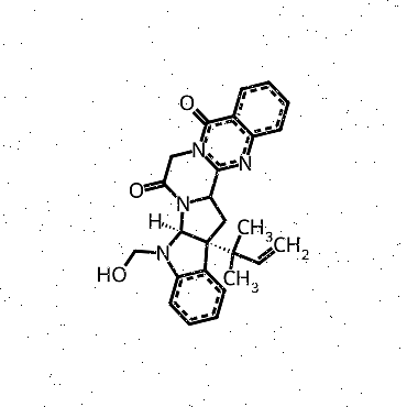 C=CC(C)(C)[C@@]12CC3c4nc5ccccc5c(=O)n4CC(=O)N3[C@@H]1N(CO)c1ccccc12